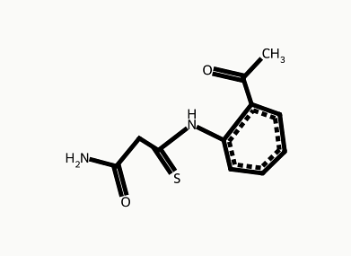 CC(=O)c1ccccc1NC(=S)CC(N)=O